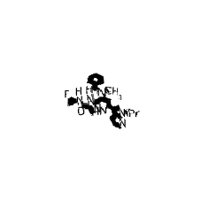 CC(C)n1cc(C(=N)/C=C(\c2ncc(C(=O)NC3CC3F)[nH]2)N(C)Cc2ccccc2)c2cccnc21